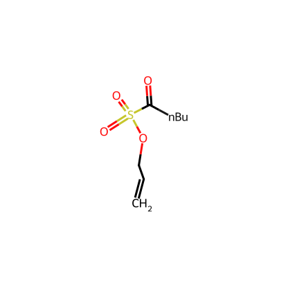 C=CCOS(=O)(=O)C(=O)CCCC